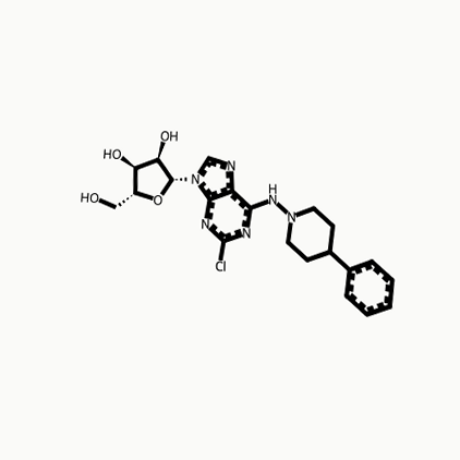 OC[C@H]1O[C@@H](n2cnc3c(NN4CCC(c5ccccc5)CC4)nc(Cl)nc32)[C@H](O)[C@@H]1O